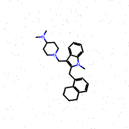 CN(C)C1CCN(Cc2c(Cc3cccc4c3CCCC4)n(C)c3ccccc23)CC1